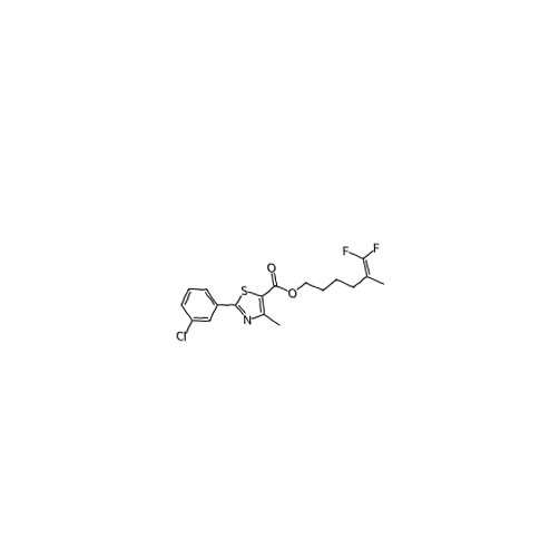 CC(CCCCOC(=O)c1sc(-c2cccc(Cl)c2)nc1C)=C(F)F